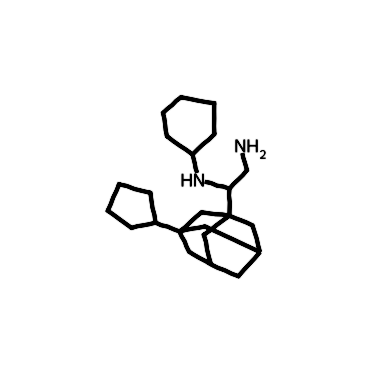 NCC(NC1CCCCC1)C12CC3CC(CC(C4CCCC4)(C3)C1)C2